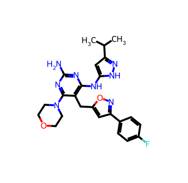 CC(C)c1cc(Nc2nc(N)nc(N3CCOCC3)c2Cc2cc(-c3ccc(F)cc3)no2)[nH]n1